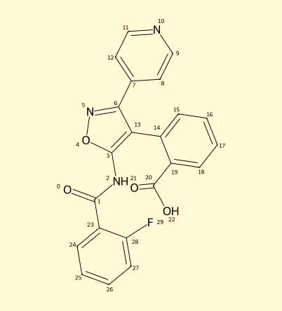 O=C(Nc1onc(-c2ccncc2)c1-c1ccccc1C(=O)O)c1ccccc1F